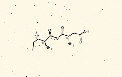 CC[C@H](C)[C@H](N)C(=O)OC(=O)[C@@H](N)CC(=O)O